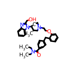 CCN(CC)C(=O)c1ccc(Cc2ccccc2OCCN2CCC(n3c(CO)nc4ccccc43)C(C)C2)cc1